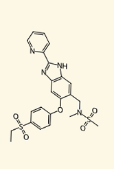 CCS(=O)(=O)c1ccc(Oc2cc3nc(-c4ccccn4)[nH]c3cc2CN(C)S(C)(=O)=O)cc1